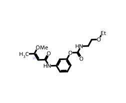 CCOCCNC(=O)Oc1cccc(NC(=O)/C=C(/C)OC)c1